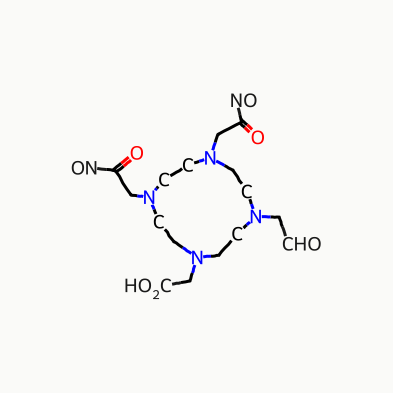 O=CCN1CCN(CC(=O)O)CCN(CC(=O)N=O)CCN(CC(=O)N=O)CC1